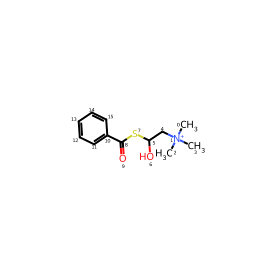 C[N+](C)(C)CC(O)SC(=O)c1ccccc1